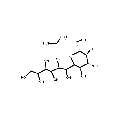 NCC(=O)O.OCC(O)C(O)C(O)C(O)C(O)C1O[C@H](CO)[C@@H](O)[C@H](O)[C@H]1O